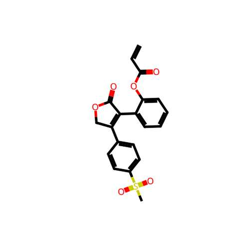 C=CC(=O)Oc1ccccc1C1=C(c2ccc(S(C)(=O)=O)cc2)COC1=O